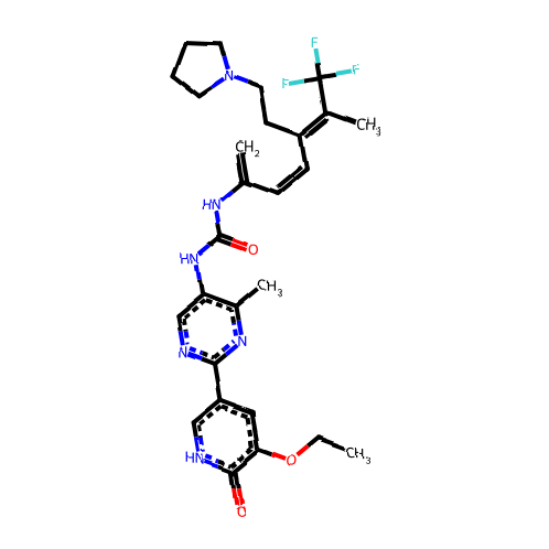 C=C(/C=C\C(CCN1CCCC1)=C(/C)C(F)(F)F)NC(=O)Nc1cnc(-c2c[nH]c(=O)c(OCC)c2)nc1C